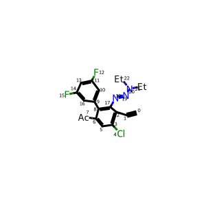 C#Cc1c(Cl)cc(C(C)=O)c(-c2cc(F)cc(F)c2)c1N=NN(CC)CC